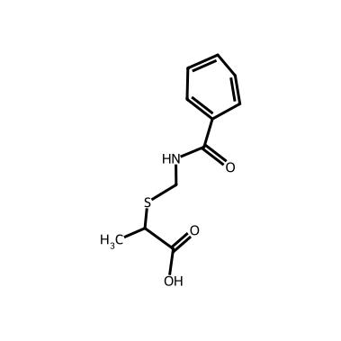 CC(SCNC(=O)c1ccccc1)C(=O)O